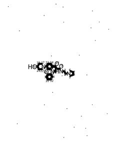 O=C(NCCN1CCCC1)c1cn2c3c(c(N4CCC(O)CC4)ccc3c1=O)Oc1ccccc1-2